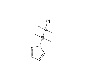 C[Si](C)(Cl)[Si](C)(C)C1C=CC=C1